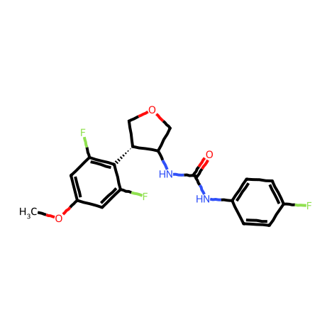 COc1cc(F)c([C@@H]2COCC2NC(=O)Nc2ccc(F)cc2)c(F)c1